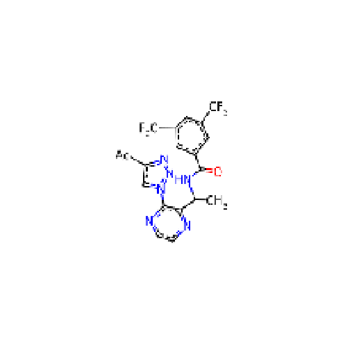 CC(=O)c1cn(-c2nccnc2C(C)NC(=O)c2cc(C(F)(F)F)cc(C(F)(F)F)c2)nn1